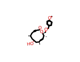 COc1ccc(COC[C@@H]2OC(=O)C#CC[C@H](C)C[C@H](O)C[C@H](C)/C=C/[C@H]2C)cc1